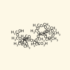 C=CC(=O)O.CC(O)COC(C)COC(C)COC(C)COC(C)COC(C)COC(C)COC(C)COC(C)COC(C)COC(C)COC(C)COC(C)COC(C)COC(C)COC(C)COC(C)COC(C)COC(C)COC(C)CO